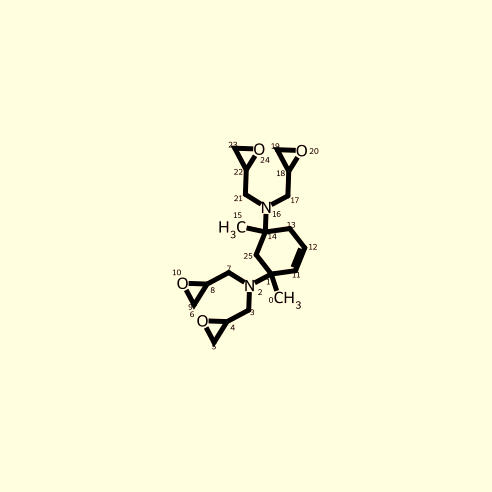 CC1(N(CC2CO2)CC2CO2)C=CCC(C)(N(CC2CO2)CC2CO2)C1